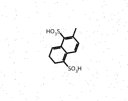 Cc1ccc2c(c1S(=O)(=O)O)=CCCC=2S(=O)(=O)O